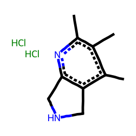 Cc1nc2c(c(C)c1C)CNC2.Cl.Cl